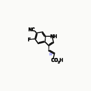 N#Cc1cc2[nH]cc(/C=C/C(=O)O)c2cc1F